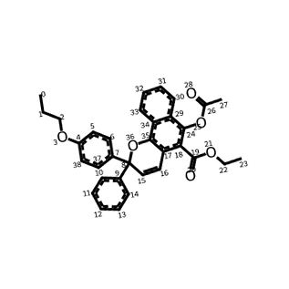 CCCOc1ccc(C2(c3ccccc3)C=Cc3c(C(=O)OCC)c(OC(C)=O)c4ccccc4c3O2)cc1